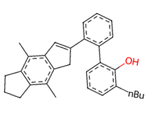 CCCCc1cccc(-c2ccccc2C2=Cc3c(C)c4c(c(C)c3C2)CCC4)c1O